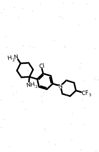 NC1CCC(N)(c2ccc(N3CCC(C(F)(F)F)CC3)cc2Cl)CC1